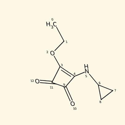 CCOc1c(NC2CC2)c(=O)c1=O